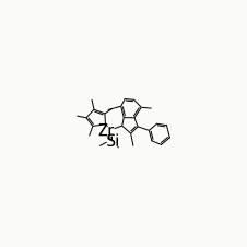 CC1=C(C)[CH]([Zr]([CH]2C(C)=C(c3ccccc3)c3c(C)ccc(C)c32)=[Si](C)C)C(C)=C1C